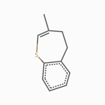 CC1=CSc2ccccc2CC1